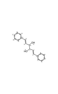 OC(/C=C/c1ccccc1)C(O)/C=C/c1ccccc1